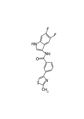 Cc1nc(-c2cccc(C(=O)Nc3c[nH]c4cc(F)c(F)cc34)c2)cs1